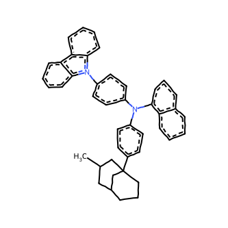 CC1CC2CCCC(c3ccc(N(c4ccc(-n5c6ccccc6c6ccccc65)cc4)c4cccc5ccccc45)cc3)(C1)C2